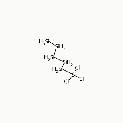 [SiH3][SiH2][SiH2][SiH2][SiH2][Si](Cl)(Cl)Cl